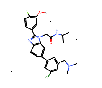 COc1cc(-c2nc3ccc(-c4cc(Cl)cc(CN(C)C)c4)cc3n2CC(=O)NC(C)C)ccc1F